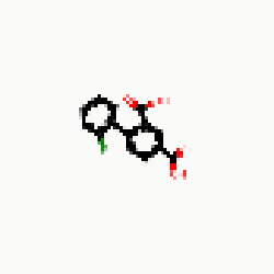 O=C(O)c1ccc(-c2ccccc2F)c(C(=O)O)c1